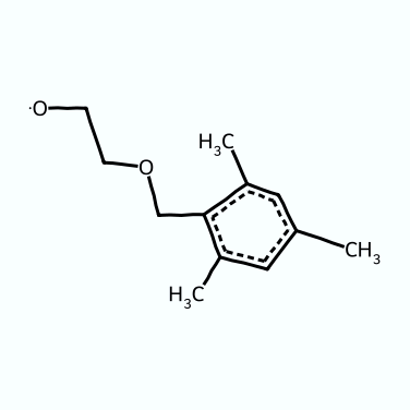 Cc1cc(C)c(COCC[O])c(C)c1